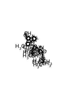 COc1ccc(C(OC[C@H]2O[C@@H](n3cnc4c(=O)n(CCO[Si](C)(C)C(C)(C)C)cnc43)[C@H](O[Si](C)(C)C(C)(C)C)[C@@H]2O)(c2ccccc2)c2ccc(OC)cc2)cc1